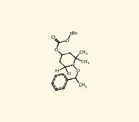 CCC1(CC)CC(OC(=O)OC(C)(C)C)CC(C)(C)N1OC(C)c1ccccc1